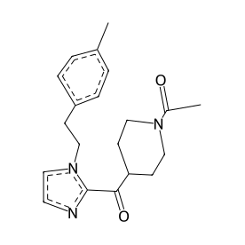 CC(=O)N1CCC(C(=O)c2nccn2CCc2ccc(C)cc2)CC1